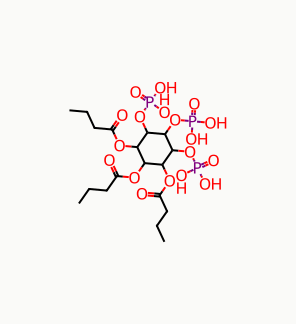 CCCC(=O)OC1C(OC(=O)CCC)C(OP(=O)(O)O)C(OP(=O)(O)O)C(OP(=O)(O)O)C1OC(=O)CCC